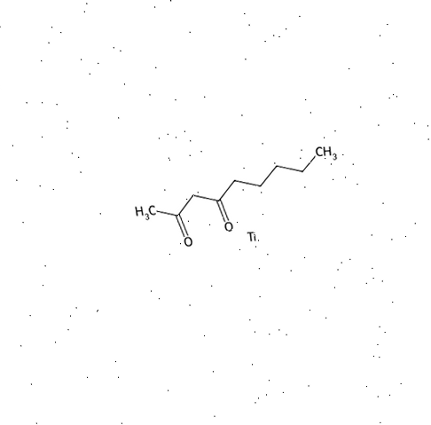 CCCCCC(=O)CC(C)=O.[Ti]